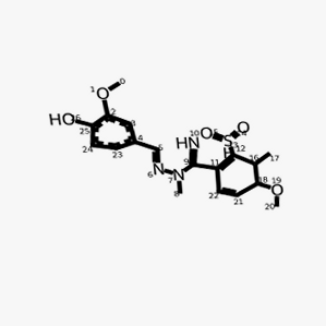 COc1cc(/C=N/N(C)C(=N)C2=C([SH](=O)=O)C(C)C(OC)C=C2)ccc1O